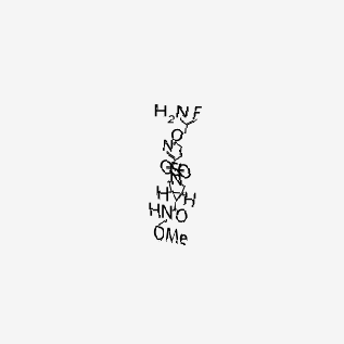 COCCNC(=O)[C@H]1[C@@H]2CN(S(=O)(=O)c3ccc(OC/C(=C/F)CN)nc3)C[C@@H]21